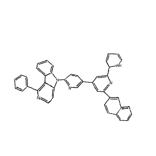 C1=CNC(c2cc(-c3ccc(-n4c5ccccc5c5c(-c6ccccc6)nccc54)nc3)cc(-c3ccc4ccccc4c3)n2)C=C1